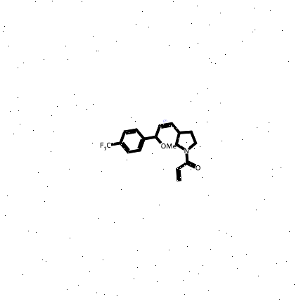 C=CC(=O)N1CCC(/C=C\C(OC)c2ccc(C(F)(F)F)cc2)C1